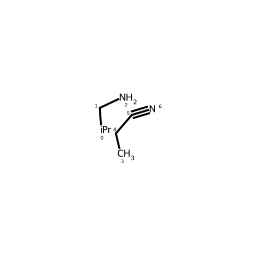 CC(C)CN.CCC#N